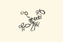 COC(=O)Nc1ccc(-c2nc([C@H](Cc3ccc4c(c3)CC(OC(C)=O)C4)NC(=O)/C=C/c3cccc(Cl)c3)[nH]c2Cl)cc1